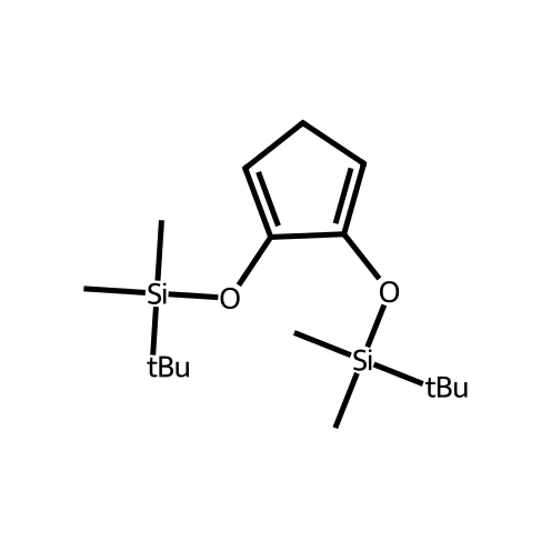 CC(C)(C)[Si](C)(C)OC1=CCC=C1O[Si](C)(C)C(C)(C)C